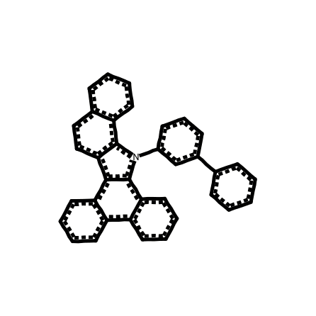 c1ccc(-c2cccc(-n3c4c5ccccc5ccc4c4c5ccccc5c5ccccc5c43)c2)cc1